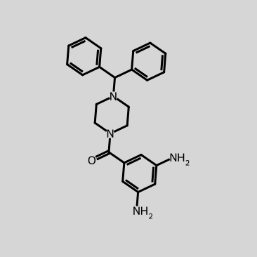 Nc1cc(N)cc(C(=O)N2CCN(C(c3ccccc3)c3ccccc3)CC2)c1